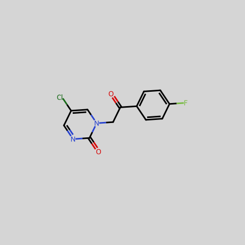 O=C(Cn1cc(Cl)cnc1=O)c1ccc(F)cc1